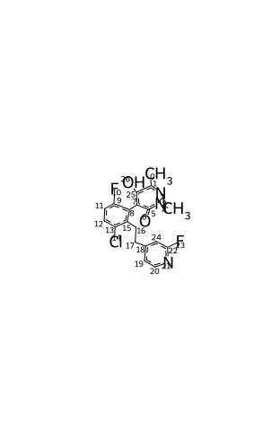 Cc1nn(C)c(=O)c(-c2c(F)ccc(Cl)c2CCc2ccnc(F)c2)c1O